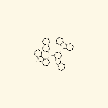 c1ccc2cc(N(c3cc(-n4c5ccccc5c5ccccc54)cc4c3sc3ccccc34)c3cccc4oc5ccccc5c34)ccc2c1